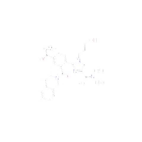 CCCCN(CCCC)C(=O)c1cn(CCCO)c(-c2ccc(C(=O)OC)cc2C(=O)N2CCc3ccccc3C2)n1